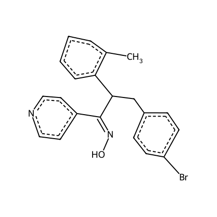 Cc1ccccc1C(Cc1ccc(Br)cc1)/C(=N/O)c1ccncc1